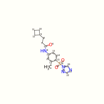 Cc1cc(NC(=O)CCC2CCC2)ccc1S(=O)(=O)n1cncn1